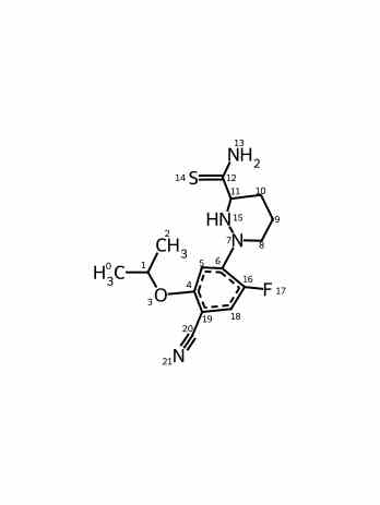 CC(C)Oc1cc(N2CCCC(C(N)=S)N2)c(F)cc1C#N